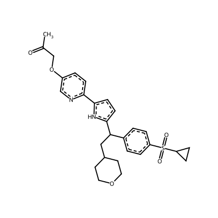 CC(=O)COc1ccc(-c2ccc(C(CC3CCOCC3)c3ccc(S(=O)(=O)C4CC4)cc3)[nH]2)nc1